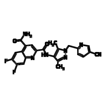 Cc1nn(Cc2ccc(C#N)cn2)c(C)c1NC(=O)c1cc(C(N)=O)c2cc(F)c(F)cc2n1